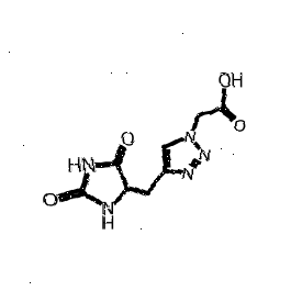 O=C(O)Cn1cc(CC2NC(=O)NC2=O)nn1